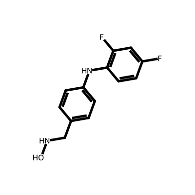 ONCc1ccc(Nc2ccc(F)cc2F)cc1